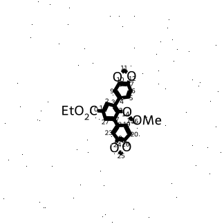 CCOC(=O)c1cc(-c2ccc3c(c2)OCO3)c(OCOC)c(-c2ccc3c(c2)OCO3)c1